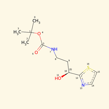 CC(C)(C)OC(=O)NCC[C@H](O)c1nccs1